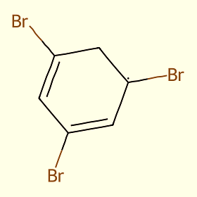 Br[C]1C=C(Br)C=C(Br)C1